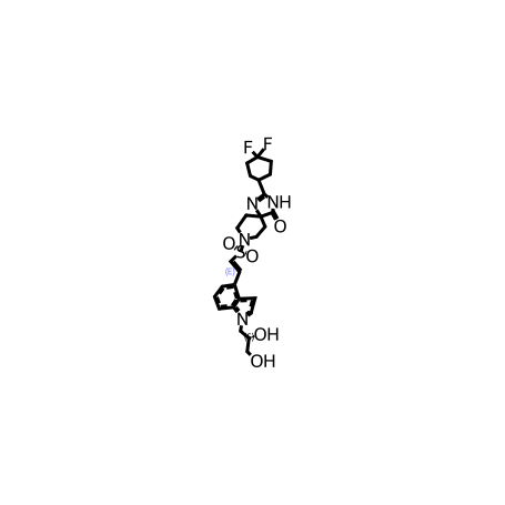 O=C1NC(C2CCC(F)(F)CC2)=NC12CCN(S(=O)(=O)/C=C/c1cccc3c1ccn3C[C@H](O)CO)CC2